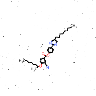 CCCCCCCCCc1cnc(-c2ccc(OC(=O)c3ccc(OC(C)CCCCCC)c(C#N)c3)cc2)nc1